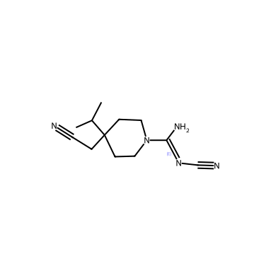 CC(C)C1(CC#N)CCN(/C(N)=N/C#N)CC1